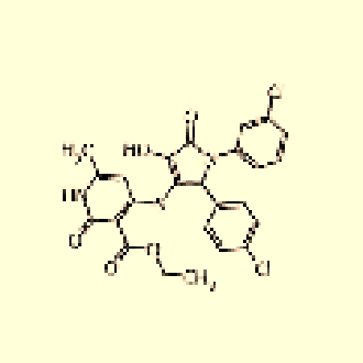 CCOC(=O)c1c(SC2=C(O)C(=O)N(c3cccc(Cl)c3)C2c2ccc(Cl)cc2)cc(C)[nH]c1=O